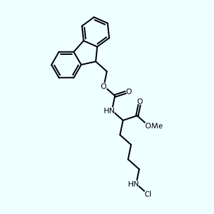 COC(=O)C(CCCCNCl)NC(=O)OCC1c2ccccc2-c2ccccc21